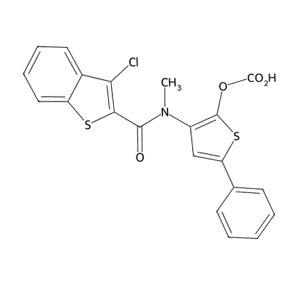 CN(C(=O)c1sc2ccccc2c1Cl)c1cc(-c2ccccc2)sc1OC(=O)O